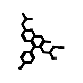 CCCCOC(O)Cc1c(C)cc2nc(CN(C)C)ccc2c1-c1ccc(Cl)cc1